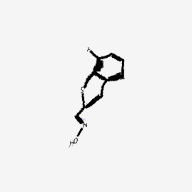 O/N=C/c1cc2cccc(F)c2s1